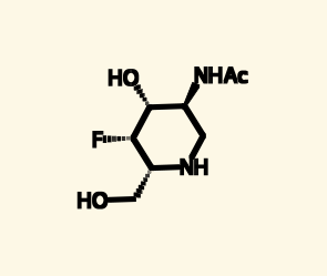 CC(=O)N[C@H]1CN[C@H](CO)[C@H](F)[C@@H]1O